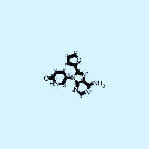 Nc1ncnc2c1nc(-c1ccco1)n2-c1ccc(=O)[nH]c1